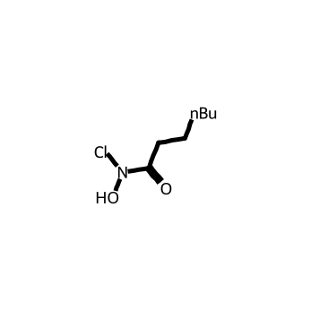 CCCCCCC(=O)N(O)Cl